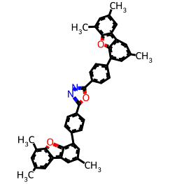 Cc1cc(C)c2oc3c(-c4ccc(-c5nnc(-c6ccc(-c7cc(C)cc8c7oc7c(C)cc(C)cc78)cc6)o5)cc4)cc(C)cc3c2c1